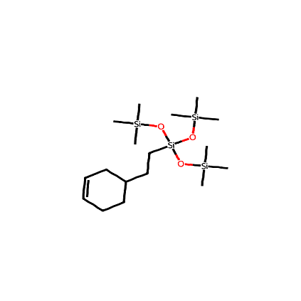 C[Si](C)(C)O[Si](CCC1CC=CCC1)(O[Si](C)(C)C)O[Si](C)(C)C